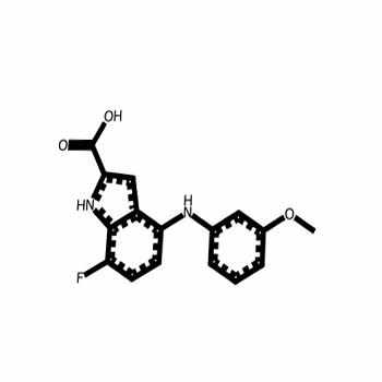 COc1cccc(Nc2ccc(F)c3[nH]c(C(=O)O)cc23)c1